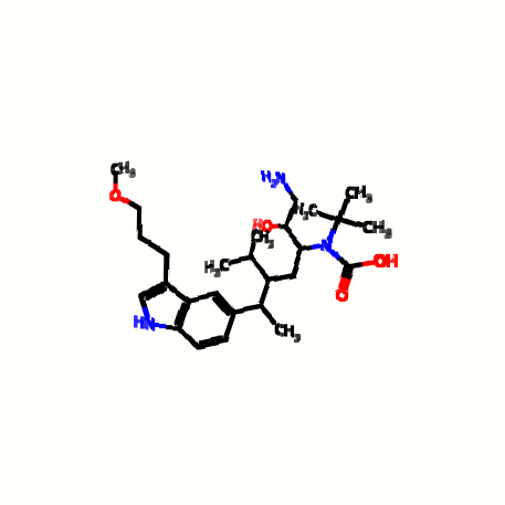 COCCCc1c[nH]c2ccc(C(C)C(CC(C(O)CN)N(C(=O)O)C(C)(C)C)C(C)C)cc12